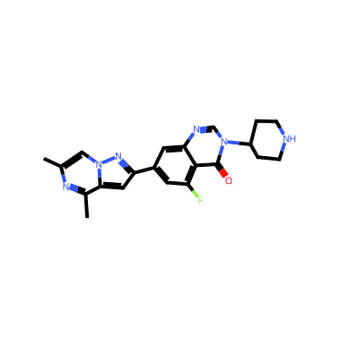 Cc1cn2nc(-c3cc(F)c4c(=O)n(C5CCNCC5)cnc4c3)cc2c(C)n1